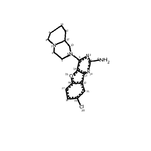 Nc1nc(N2CCN3CCCCC3C2)c2oc3ccc(Cl)cc3c2n1